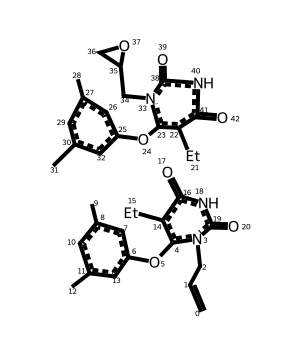 C=CCn1c(Oc2cc(C)cc(C)c2)c(CC)c(=O)[nH]c1=O.CCc1c(Oc2cc(C)cc(C)c2)n(CC2CO2)c(=O)[nH]c1=O